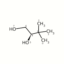 CC(C)(C)[C@@H](O)CO